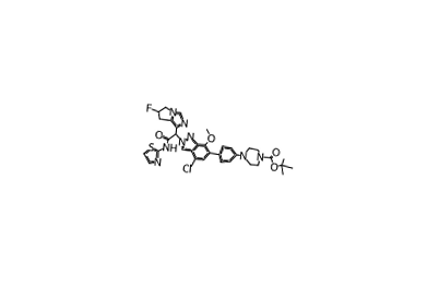 COc1c(-c2ccc(N3CCN(C(=O)OC(C)(C)C)CC3)cc2)cc(Cl)c2cn(C(C(=O)Nc3nccs3)c3ncn4c3CC(F)C4)nc12